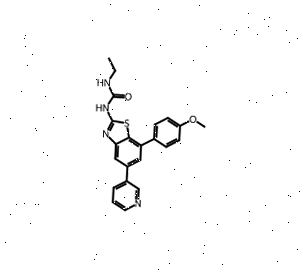 CCNC(=O)Nc1nc2cc(-c3cccnc3)cc(-c3ccc(OC)cc3)c2s1